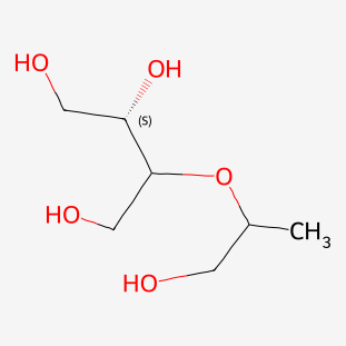 CC(CO)OC(CO)[C@@H](O)CO